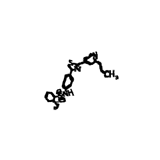 CCCc1cc(-c2nc(-c3ccc(NS(=O)(=O)C4=CC=CCC4=S)cc3)cs2)ccn1